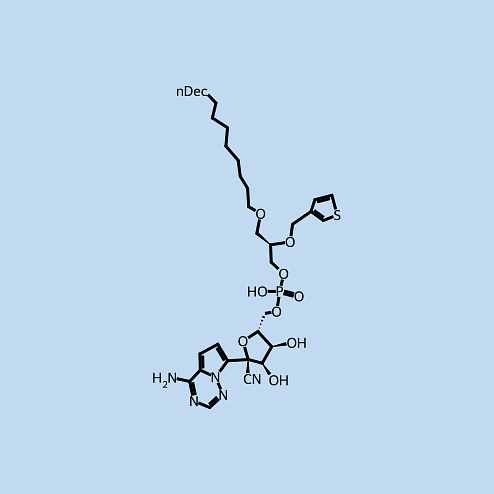 CCCCCCCCCCCCCCCCCCOC[C@H](COP(=O)(O)OC[C@H]1O[C@@](C#N)(c2ccc3c(N)ncnn23)[C@H](O)[C@@H]1O)OCc1ccsc1